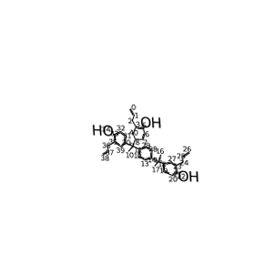 C=CCC1=C(O)C=CC(C(C)(c2ccc(C(C)(C)c3ccc(O)c(CC=C)c3)cc2)c2ccc(O)c(CC=C)c2)C1